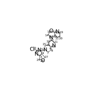 Clc1nc2c(c(N3CCc4ncc(N5CCOc6ncccc65)cc4C3)n1)COC2